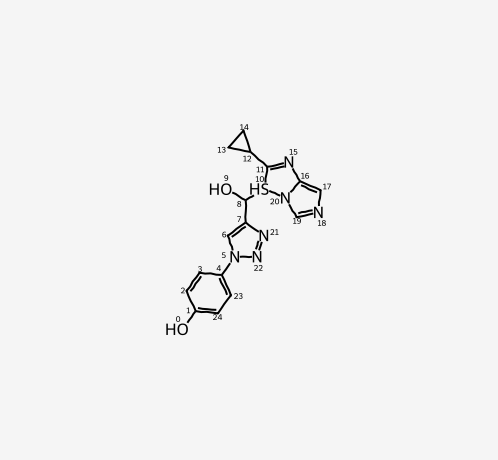 Oc1ccc(-n2cc(C(O)[SH]3C(C4CC4)=Nc4cncn43)nn2)cc1